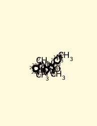 C[C@@H](Nc1nncc2c1cc(C1=CCN(C)CC1)c(=O)n2C)c1cccc(C(F)(F)F)c1